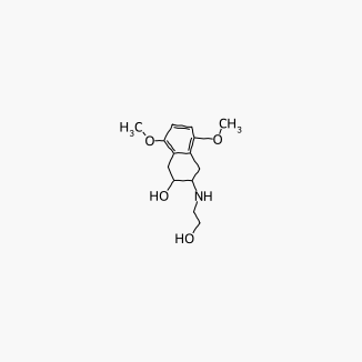 COc1ccc(OC)c2c1CC(O)C(NCCO)C2